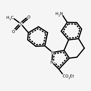 CCOC(=O)c1nn(-c2ccc(S(C)(=O)=O)cc2)c2c1CCc1ccc(N)cc1-2